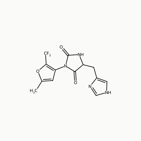 Cc1cc(N2C(=O)NC(Cc3c[nH]cn3)C2=O)c(C(F)(F)F)o1